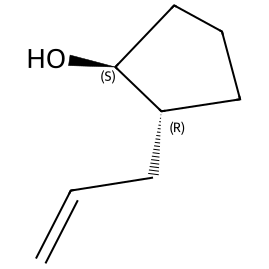 C=CC[C@H]1CCC[C@@H]1O